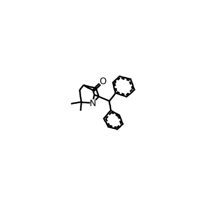 CC1(C)CC2CCN1C(C(c1ccccc1)c1ccccc1)C2=O